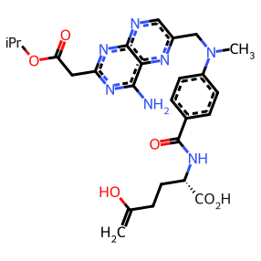 C=C(O)CC[C@H](NC(=O)c1ccc(N(C)Cc2cnc3nc(CC(=O)OC(C)C)nc(N)c3n2)cc1)C(=O)O